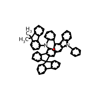 CC1(C)c2ccccc2-c2c(N(c3ccccc3-c3cccc4c3c3ccccc3n4-c3ccccc3)c3cccc4c3-c3ccccc3C43c4ccccc4-c4ccccc43)cccc21